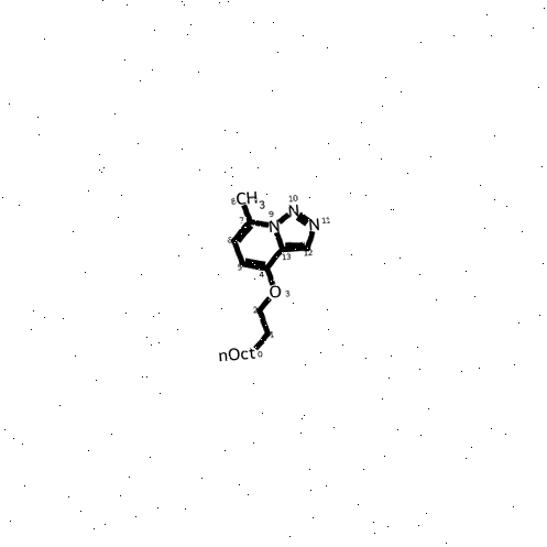 CCCCCCCCCCOc1ccc(C)n2nncc12